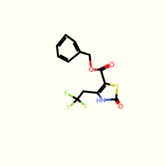 O=C(OCc1ccccc1)c1sc(=O)[nH]c1CC(F)(F)F